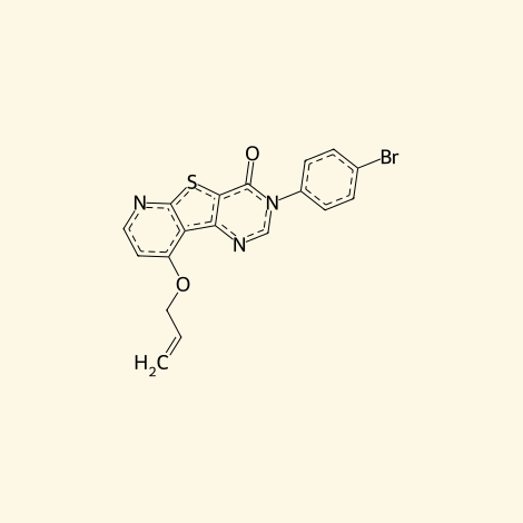 C=CCOc1ccnc2sc3c(=O)n(-c4ccc(Br)cc4)cnc3c12